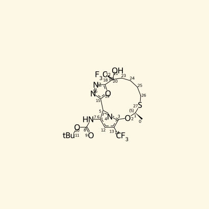 C[C@H]1Oc2nc(c(NC(=O)OC(C)(C)C)cc2C(F)(F)F)-c2nnc(o2)[C@@](O)(C(F)(F)F)CCCCS1